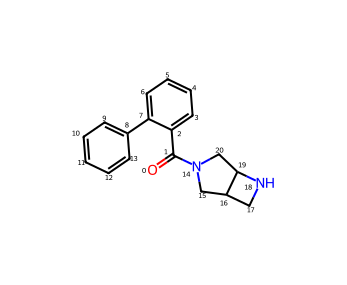 O=C(c1ccccc1-c1ccccc1)N1CC2CNC2C1